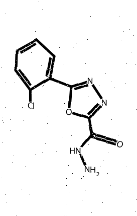 NNC(=O)c1nnc(-c2ccccc2Cl)o1